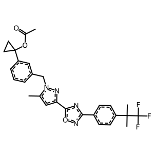 CC(=O)OC1(c2cccc(Cn3nc(-c4nc(-c5ccc(C(C)(C)C(F)(F)F)cc5)no4)cc3C)c2)CC1